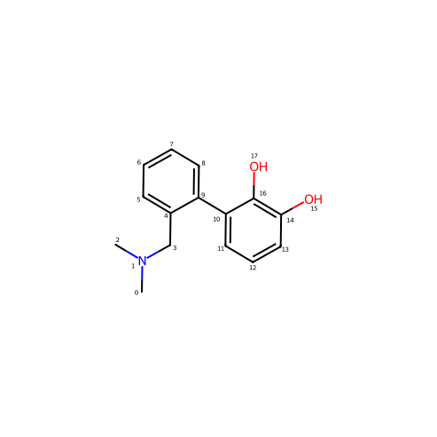 CN(C)Cc1ccccc1-c1cccc(O)c1O